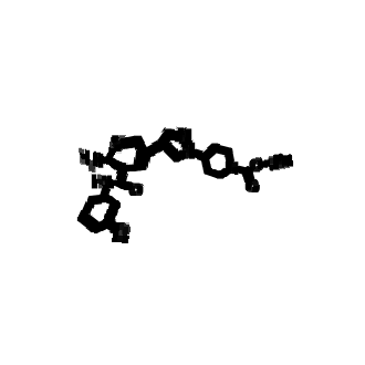 CCc1cccc(NC(=O)c2cc(-c3cnn(C4CCN(C(=O)OC(C)(C)C)CC4)c3)cnc2N)c1